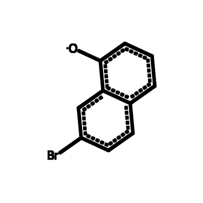 [O]c1cccc2ccc(Br)cc12